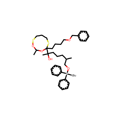 CC(CCCC(C)(O)C1(CCCCOCc2ccccc2)OC(C)OSCCCS1)CO[Si](c1ccccc1)(c1ccccc1)C(C)(C)C